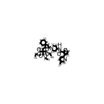 CCOC(=O)C(CCC1(CCN2CCC(NC(=O)c3occc3-c3ccc(C)cn3)CC2)CCCCC1)(C(=O)OCC)C(=O)OCC